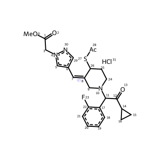 COC(=O)Cn1cc(/C=C2/CN(C(C(=O)C3CC3)c3ccccc3F)CCC2SC(C)=O)cn1.Cl